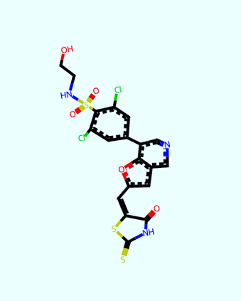 O=C1NC(=S)S/C1=C/c1cc2cncc(-c3cc(Cl)c(S(=O)(=O)NCCO)c(Cl)c3)c2o1